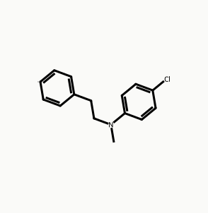 CN(CCc1cc[c]cc1)c1ccc(Cl)cc1